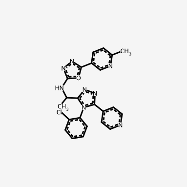 Cc1ccc(-c2nnc(NC(C)c3nnc(-c4ccncc4)n3-c3ccccc3Cl)o2)cn1